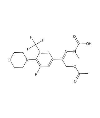 CC(=O)OC/C(=N\N(C)C(=O)O)c1cc(F)c(N2CCOCC2)c(C(F)(F)F)c1